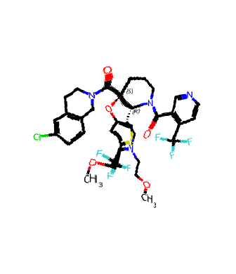 COCCN(CCOC)CC[C@H]1N(C(=O)c2cnccc2C(F)(F)F)CCC[C@@]1(Oc1csc(C(F)(F)F)c1)C(=O)N1CCc2cc(Cl)ccc2C1